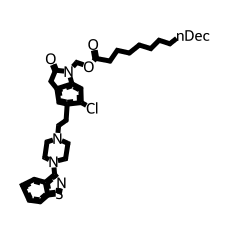 CCCCCCCCCCCCCCCCCC(=O)OCN1C(=O)Cc2cc(CCN3CCN(c4nsc5ccccc45)CC3)c(Cl)cc21